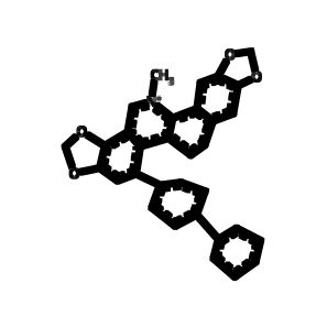 C[n+]1cc2c3c(cc(-c4ccc(-c5ccccc5)cc4)c2c2ccc4cc5c(cc4c21)OCO5)OCO3